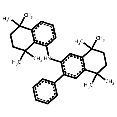 CC1(C)CCC(C)(C)c2cc(-c3ccccc3)c(Nc3cccc4c3C(C)(C)CCC4(C)C)cc21